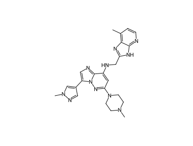 Cc1ccnc2[nH]c(CNc3cc(N4CCN(C)CC4)nn4c(-c5cnn(C)c5)cnc34)nc12